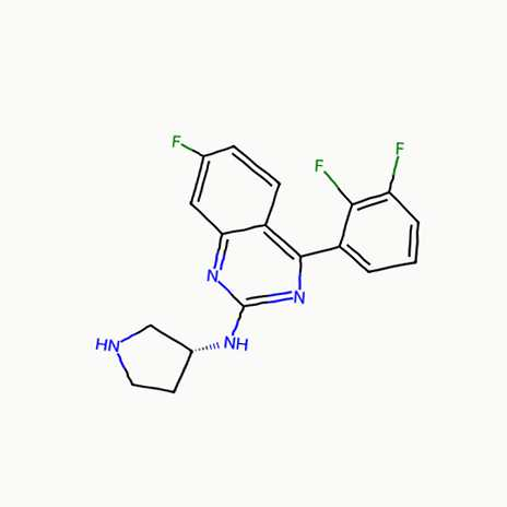 Fc1ccc2c(-c3cccc(F)c3F)nc(N[C@@H]3CCNC3)nc2c1